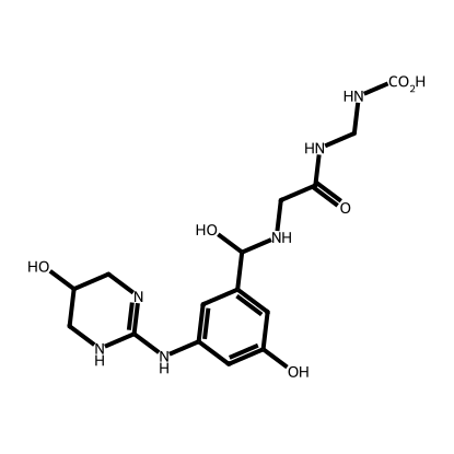 O=C(O)NCNC(=O)CNC(O)c1cc(O)cc(NC2=NCC(O)CN2)c1